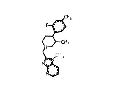 CC1CN(Cc2nc3ncccc3n2C)CCC1c1ccc(C(F)(F)F)cc1F